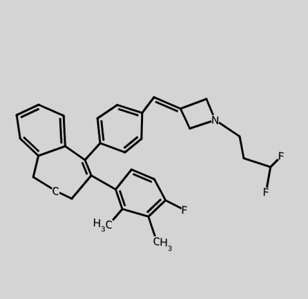 Cc1c(F)ccc(C2=C(c3ccc(C=C4CN(CCC(F)F)C4)cc3)c3ccccc3CCC2)c1C